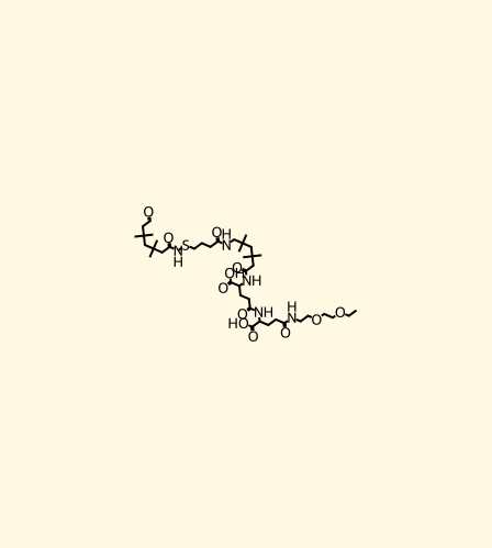 CCOCCOCCNC(=O)CCC(NC(=O)CCC(NC(=O)CC(C)(C)CC(C)(C)CNC(=O)CCCSNC(=O)CC(C)(C)CC(C)(C)CC=O)C(=O)O)C(=O)O